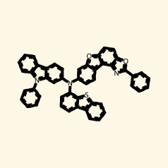 c1ccc(-c2nc3c(ccc4oc5cc(N(c6ccc7c8ccccc8n(-c8ccccc8)c7c6)c6cccc7c6sc6ccccc67)ccc5c43)o2)cc1